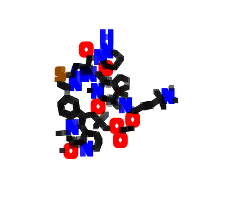 CCn1c(-c2cccnc2[C@H](C)OC)c(CC(C)(C)COC(C)=O)c2cc(-c3csc(C[C@H](NC(=O)[C@H](C4CCCC4)N(C)C(=O)[C@H]4CCN(C(=O)C#CC(C)(C)N(C)C)C4)C(=O)N4CCCCN4)n3)ccc21